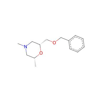 C[C@@H]1CN(C)C[C@H](COCc2ccccc2)O1